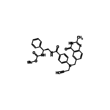 C#CCN(Cc1ccc2nc(C)[nH]c(=O)c2c1)c1ccc(C(=O)NC[C@@H](NC(=O)OC(C)(C)C)c2ccccc2)cc1